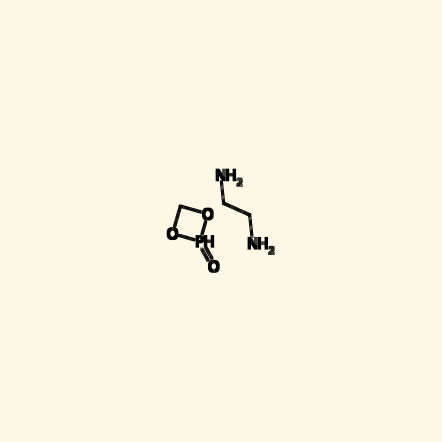 NCCN.O=[PH]1OCO1